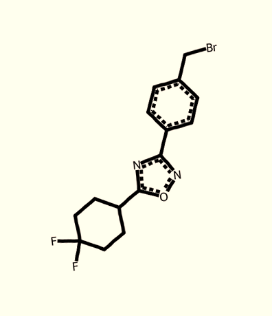 FC1(F)CCC(c2nc(-c3ccc(CBr)cc3)no2)CC1